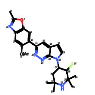 COc1cc2nc(C)oc2cc1-c1cc2ccn(C3CC(C)(C)NC(C)(C)C3F)c2nn1